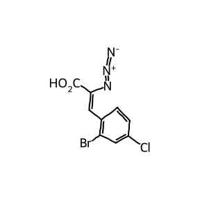 [N-]=[N+]=NC(=Cc1ccc(Cl)cc1Br)C(=O)O